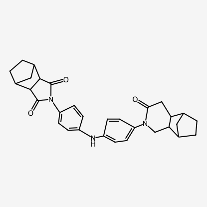 O=C1CC2C3CCC(C3)C2CN1c1ccc(Nc2ccc(N3C(=O)C4C5CCC(C5)C4C3=O)cc2)cc1